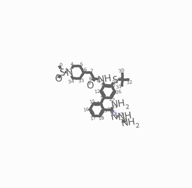 C[S+]([O-])N1CCC(CC(=O)Nc2cc(-c3ccccc3/C(N)=N/NN)ccc2SC(C)(C)C)CC1